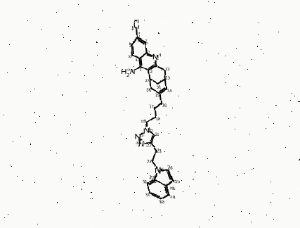 Nc1c2c(nc3cc(Cl)ccc13)CC1C=C(CCCCn3cc(CCn4ccc5ccccc54)nn3)CC2C1